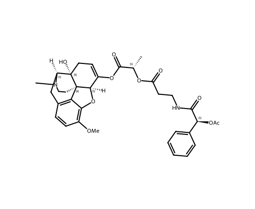 COc1ccc2c3c1O[C@@H]1C(OC(=O)[C@H](C)OC(=O)CCNC(=O)[C@@H](OC(C)=O)c4ccccc4)=CC[C@]4(O)[C@H](C2)N(C)CC[C@@]314